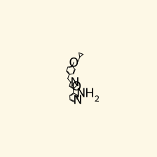 Nc1ncccc1-c1cc(Cc2ccc(OCC3CC3)cc2)no1